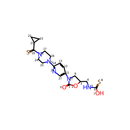 O=C1OC(CNC(O)=S)CN1c1ccc(N2CCN(C(=S)C3CC3)CC2)nc1